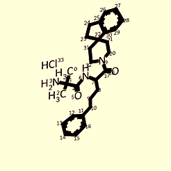 CC(C)(N)C(=O)NC(CCCc1ccccc1)C(=O)N1CCC2(CCc3ccccc32)CC1.Cl